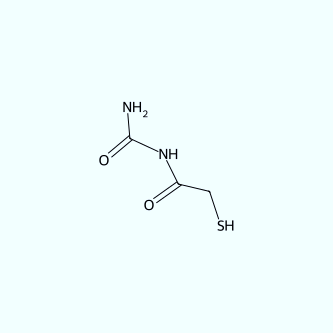 NC(=O)NC(=O)CS